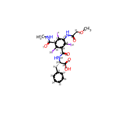 CNC(=O)c1c(I)c(NC(=O)COC)c(I)c(C(=O)N[C@@H](Cc2ccccc2)C(=O)O)c1I